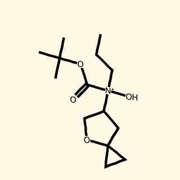 CCC[N+](O)(C(=O)OC(C)(C)C)C1COC2(CC2)C1